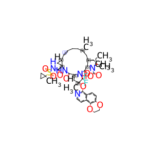 CCC(C)N(C(=O)O)[C@@H]1C(=O)N2[C@@H](C[C@@](C)(Oc3nccc4c5c(ccc34)OCCO5)C2(F)F)C(=O)N[C@]2(C(=O)NS(=O)(=O)C3(C)CC3)C[C@H]2/C=C\CC[C@@H](C)C[C@H]1CC